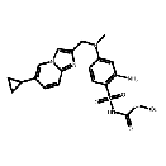 CN(Cc1cn2cc(C3CC3)ccc2n1)c1ccc(S(=O)(=O)NC(=O)OC(C)(C)C)c(N)c1